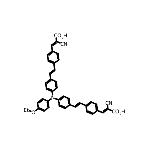 CCOc1ccc(N(c2ccc(/C=C/c3ccc(/C=C(\C#N)C(=O)O)cc3)cc2)c2ccc(/C=C/c3ccc(/C=C(\C#N)C(=O)O)cc3)cc2)cc1